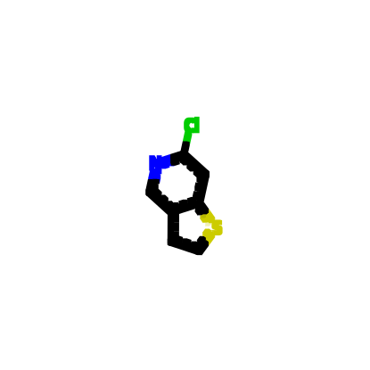 Clc1cc2sccc2cn1